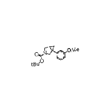 COc1cccc(C23CC2CN(C(=O)OC(C)(C)C)C3)c1